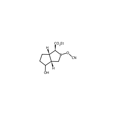 CCOC(=O)[C@H]1B(OC#N)C[C@@H]2C(O)CC[C@H]12